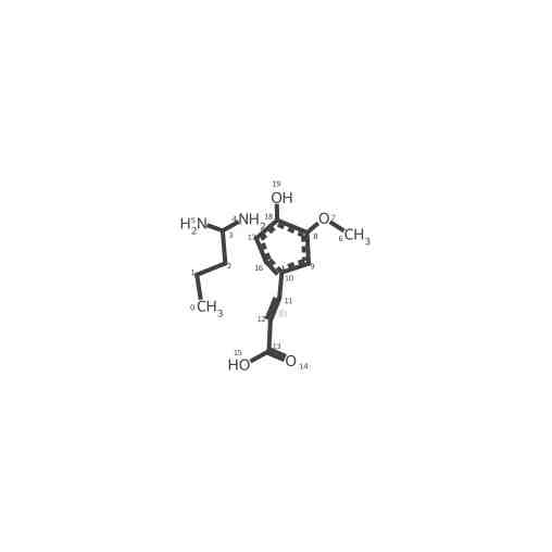 CCCC(N)N.COc1cc(/C=C/C(=O)O)ccc1O